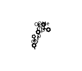 COC(=O)[C@H](Cc1ccc(OCCN(Cc2cccc(C)c2)C(=O)C2CCCC2)cc1)Nc1ccccc1C(=O)c1ccccc1